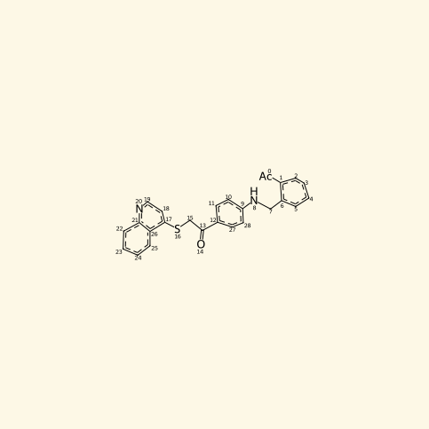 CC(=O)c1ccccc1CNc1ccc(C(=O)CSc2ccnc3ccccc23)cc1